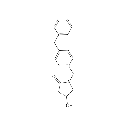 O=C1CC(O)CN1Cc1ccc(Cc2ccccc2)cc1